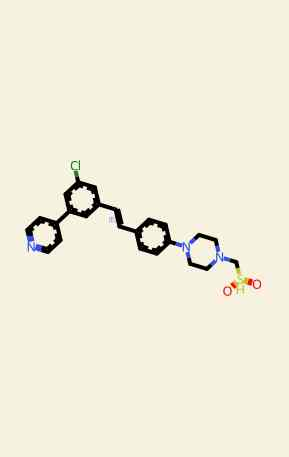 O=[SH](=O)CN1CCN(c2ccc(/C=C/c3cc(Cl)cc(-c4ccncc4)c3)cc2)CC1